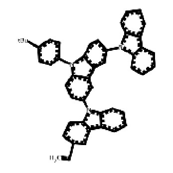 C=Cc1ccc2c(c1)c1ccccc1n2-c1ccc2c(c1)c1cc(-n3c4ccccc4c4ccccc43)ccc1n2-c1ccc(C(C)(C)C)cc1